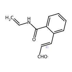 C=CNC(=O)c1ccccc1/C=C/[C]=O